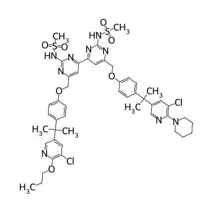 CCCOc1ncc(C(C)(C)c2ccc(OCc3cc(-c4cc(COc5ccc(C(C)(C)c6cnc(N7CCCCC7)c(Cl)c6)cc5)nc(NS(C)(=O)=O)n4)nc(NS(C)(=O)=O)n3)cc2)cc1Cl